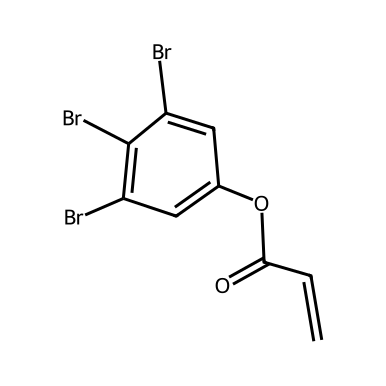 C=CC(=O)Oc1cc(Br)c(Br)c(Br)c1